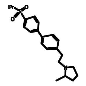 CC1CCCN1CCc1ccc(-c2ccc(S(=O)(=O)C(C)C)cc2)cc1